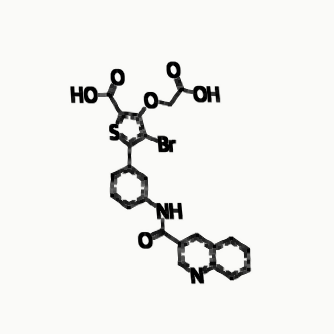 O=C(O)COc1c(C(=O)O)sc(-c2cccc(NC(=O)c3cnc4ccccc4c3)c2)c1Br